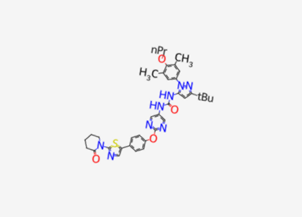 CCCOc1c(C)cc(-n2nc(C(C)(C)C)cc2NC(=O)Nc2cnc(Oc3ccc(-c4cnc(N5CCCCC5=O)s4)cc3)nc2)cc1C